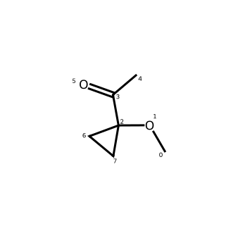 COC1(C(C)=O)CC1